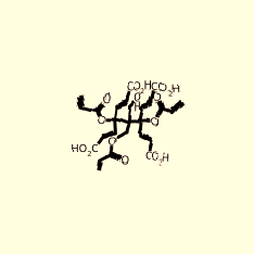 C=CC(=O)OCC(CO)(C(C=CC(=O)O)(C=CC(=O)O)OC(=O)C=C)C(C=CC(=O)O)(C=CC(=O)O)OC(=O)C=C